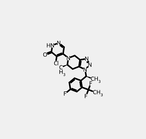 C[C@@H]1Cc2c(nnn2[C@@H](C)c2ccc(F)cc2C(C)(F)F)CN1c1cn[nH]c(=O)c1Cl